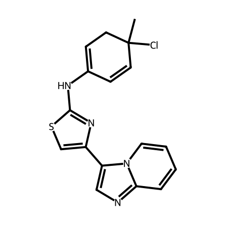 CC1(Cl)C=CC(Nc2nc(-c3cnc4ccccn34)cs2)=CC1